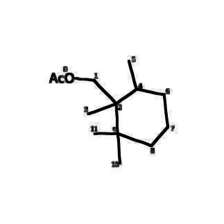 CC(=O)OCC1(C)C(C)CCCC1(C)C